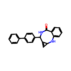 O=C1NC(c2ccc(-c3ccccc3)cc2)C2=CC2Nc2ccccc21